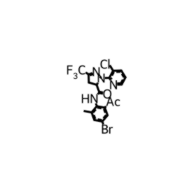 CC(=O)c1cc(Br)cc(C)c1NC(=O)C1CC(C(F)(F)F)=NN1c1ncccc1Cl